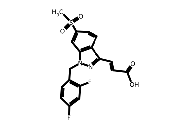 CS(=O)(=O)c1ccc2c(/C=C/C(=O)O)nn(Cc3ccc(F)cc3F)c2c1